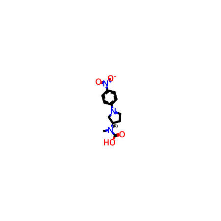 CN(C(=O)O)[C@@H]1CCN(c2ccc([N+](=O)[O-])cc2)C1